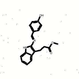 COC(=O)CCc1c(N=Cc2ccc(O)cc2)[nH]c2ccccc12